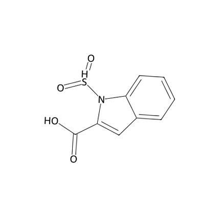 O=C(O)c1cc2ccccc2n1[SH](=O)=O